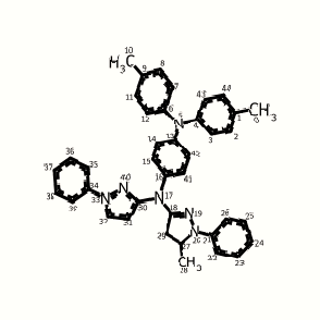 Cc1ccc(N(c2ccc(C)cc2)c2ccc(N(C3=NN(c4ccccc4)C(C)C3)c3ccn(-c4ccccc4)n3)cc2)cc1